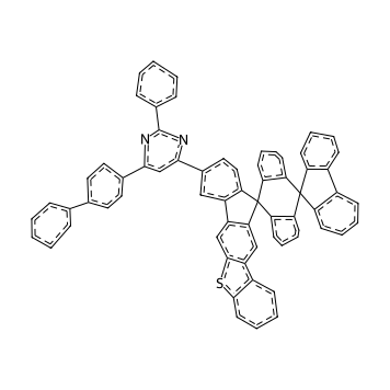 c1ccc(-c2ccc(-c3cc(-c4ccc5c(c4)-c4cc6sc7ccccc7c6cc4C54c5ccccc5C5(c6ccccc6-c6ccccc65)c5ccccc54)nc(-c4ccccc4)n3)cc2)cc1